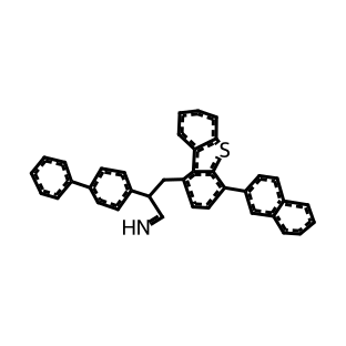 N=CC(Cc1ccc(-c2ccc3ccccc3c2)c2sc3ccccc3c12)c1ccc(-c2ccccc2)cc1